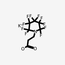 O=C([O-])CCN1C(F)(F)C(F)(F)C(F)(F)C(F)(F)C1(F)F.[K+]